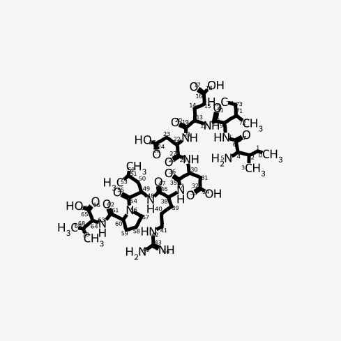 CCC(C)C(N)C(=O)NC(C(=O)NC(CCC(=O)O)C(=O)NC(CC(=O)O)C(=O)NC(CC(=O)O)C(=O)NC(CCCNC(=N)N)C(=O)NC(CC(C)C)C(=O)N1CCCC1C(=O)NC(C(=O)O)C(C)C)C(C)CC